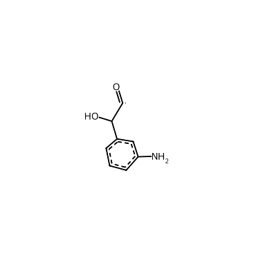 Nc1cccc(C(O)[C]=O)c1